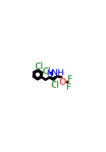 FC(F)OCc1[nH]nc(Cc2cccc(Cl)c2Cl)c1Cl